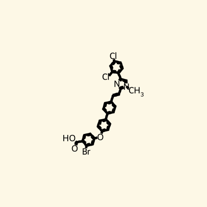 Cn1cc(-c2ccc(Cl)cc2Cl)nc1C=Cc1ccc(-c2ccc(Oc3ccc(C(=O)O)c(Br)c3)cc2)cc1